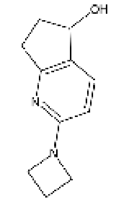 OC1CCc2nc(N3CCC3)ccc21